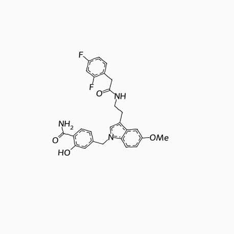 COc1ccc2c(c1)c(CCNC(=O)Cc1ccc(F)cc1F)cn2Cc1ccc(C(N)=O)c(O)c1